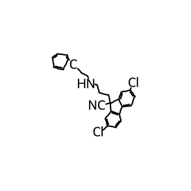 N#CC1(CCCNCCCc2ccccc2)c2cc(Cl)ccc2-c2ccc(Cl)cc21